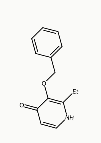 CCc1[nH]ccc(=O)c1OCc1ccccc1